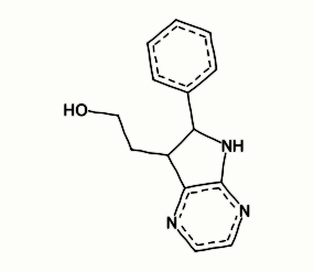 OCCC1c2nccnc2NC1c1ccccc1